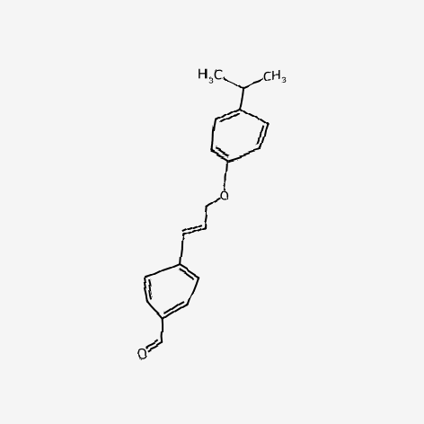 CC(C)c1ccc(OC/C=C/c2ccc(C=O)cc2)cc1